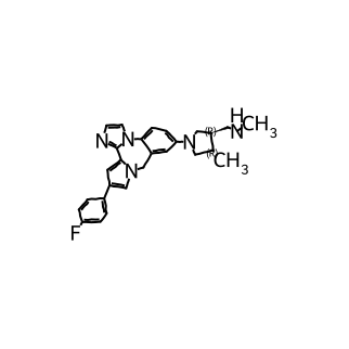 CNC[C@@H]1CN(c2ccc3c(c2)Cn2cc(-c4ccc(F)cc4)cc2-c2nccn2-3)C[C@@H]1C